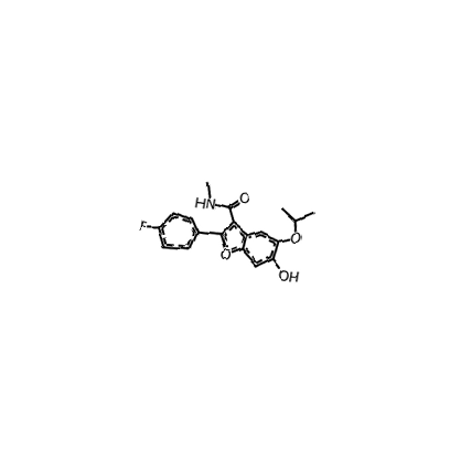 CNC(=O)c1c(-c2ccc(F)cc2)oc2cc(O)c(OC(C)C)cc12